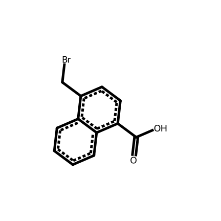 O=C(O)c1ccc(CBr)c2ccccc12